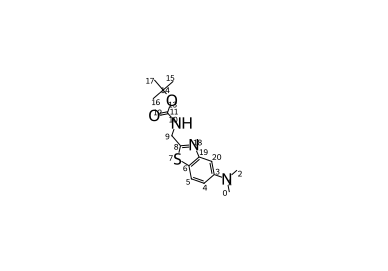 CN(C)c1ccc2sc(CNC(=O)OC(C)(C)C)nc2c1